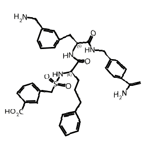 C=C(N)c1ccc(CNC(=O)[C@H](Cc2cccc(CN)c2)NC(=O)[C@@H](CCCc2ccccc2)NS(=O)(=O)Cc2cccc(C(=O)O)c2)cc1